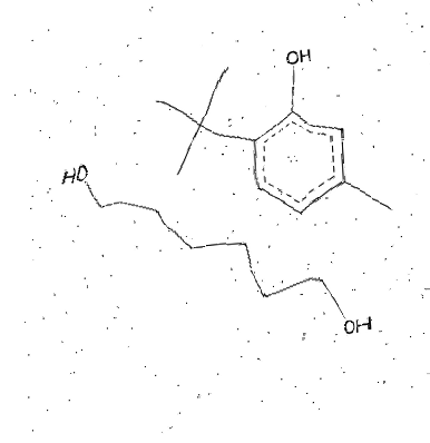 Cc1ccc(C(C)(C)C)c(O)c1.OCCCCCCO